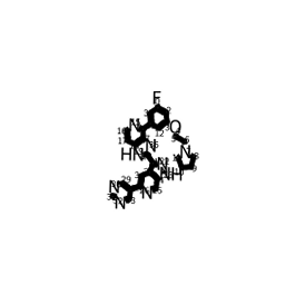 Fc1cc(OCCN2CCCC2)cc(-c2nccc3[nH]c(-c4n[nH]c5cnc(-c6cncnc6)cc45)nc23)c1